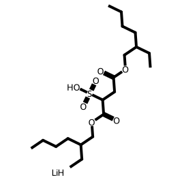 CCCCC(CC)COC(=O)CC(C(=O)OCC(CC)CCCC)S(=O)(=O)O.[LiH]